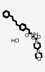 Cl.O=C(Cc1ccc(CCCCc2ccccc2)cc1)NOC(=O)N1CCC(N2CCOCC2)CC1